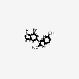 Cc1ccc2nc(C(F)(F)F)n(-c3cc(Br)c4[nH]ncc4c3)c2n1